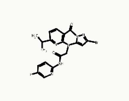 CC(C)c1ccc2c(=O)n3nc(Br)cc3n(CC(=O)Nc3ccc(F)cn3)c2n1